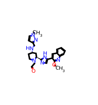 COc1nc2ccccc2cc1-c1cnc([C@@H]2C[C@@H](NCc3ccn(C)n3)CCN2CC=O)[nH]1